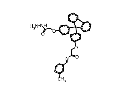 Cc1cccc(C=NC(=O)COc2ccc(C3(c4ccc(OCC(=O)NN)cc4)c4ccccc4-c4ccccc43)cc2)c1